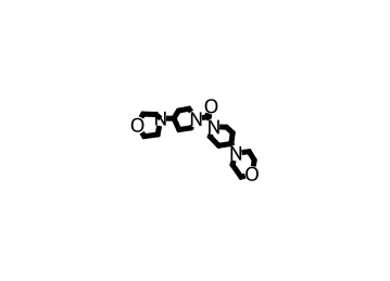 O=C(N1CCC(N2CCOCC2)CC1)N1CCC(N2CCOCC2)CC1